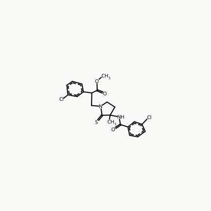 COC(=O)C(CN1CCC(C)(NC(=O)c2cccc(Cl)c2)C1=S)c1cccc(Cl)c1